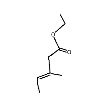 C/C=C(\C)CC(=O)OCC